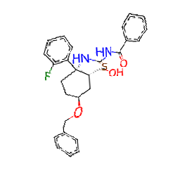 O=C(NC(=S)N[C@@]1(c2ccccc2F)CC[C@H](OCc2ccccc2)C[C@H]1CO)c1ccccc1